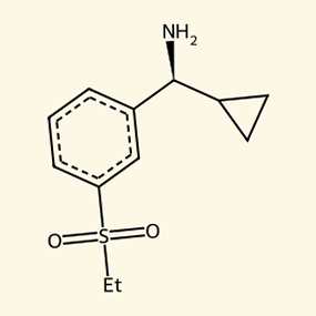 CCS(=O)(=O)c1cccc([C@@H](N)C2CC2)c1